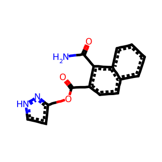 NC(=O)c1c(C(=O)Oc2cc[nH]n2)ccc2ccccc12